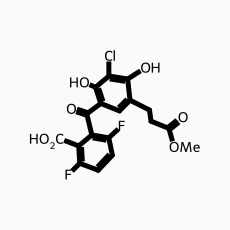 COC(=O)CCc1cc(C(=O)c2c(F)ccc(F)c2C(=O)O)c(O)c(Cl)c1O